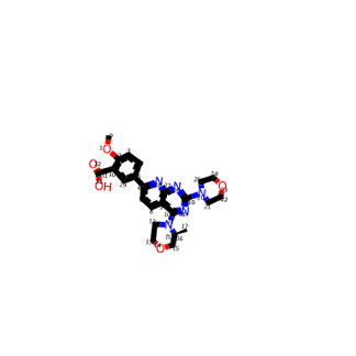 COc1ccc(-c2ccc3c(N4CCOC[C@@H]4C)nc(N4CCOCC4)nc3n2)cc1C(=O)O